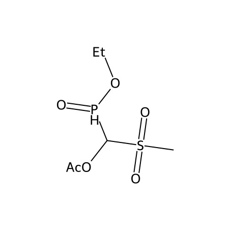 CCO[PH](=O)C(OC(C)=O)S(C)(=O)=O